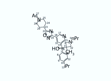 CCCN1CC(C)([C@](O)(c2ccc(C(C)C)cc2)c2cncc(-c3noc(C4CCN(C(C)=O)CC4)n3)c2)C1